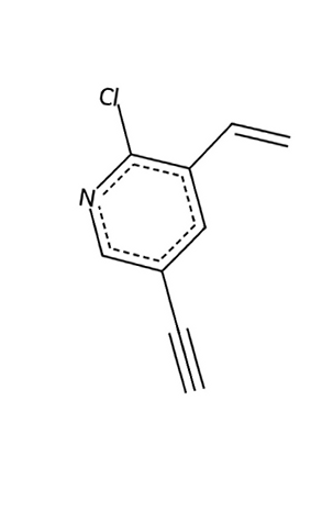 C#Cc1cnc(Cl)c(C=C)c1